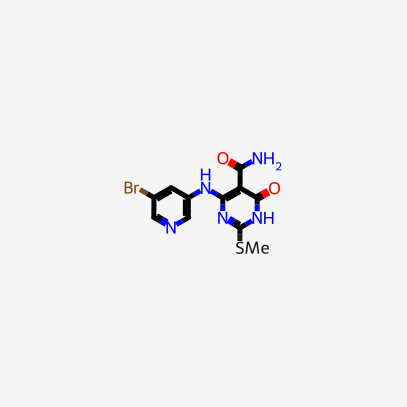 CSc1nc(Nc2cncc(Br)c2)c(C(N)=O)c(=O)[nH]1